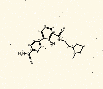 CN1CCCC1CCNC(=O)c1cccc(-c2ccc(C(N)=O)cc2)c1O